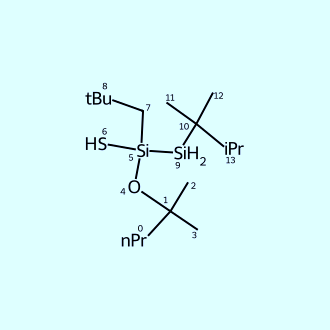 CCCC(C)(C)O[Si](S)(CC(C)(C)C)[SiH2]C(C)(C)C(C)C